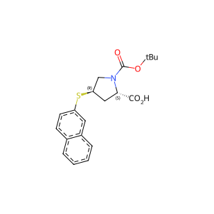 CC(C)(C)OC(=O)N1C[C@H](Sc2ccc3ccccc3c2)C[C@H]1C(=O)O